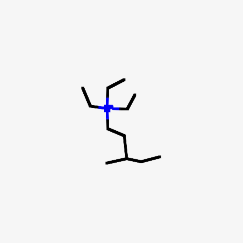 CCC(C)CC[N+](CC)(CC)CC